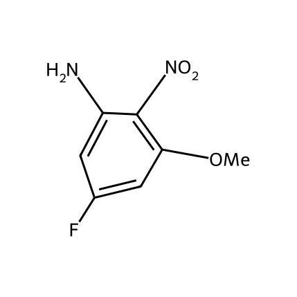 COc1cc(F)cc(N)c1[N+](=O)[O-]